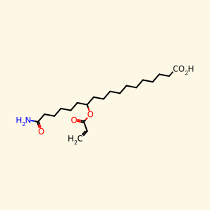 C=CC(=O)OC(CCCCCCCCCCC(=O)O)CCCCCC(N)=O